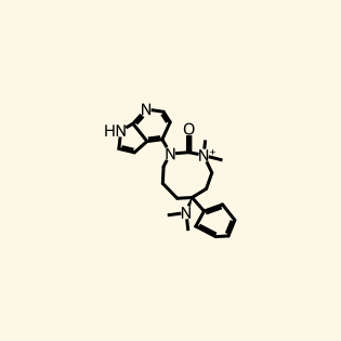 CN(C)[C@@]1(c2ccccc2)CCCN(c2ccnc3[nH]ccc23)C(=O)[N+](C)(C)CC1